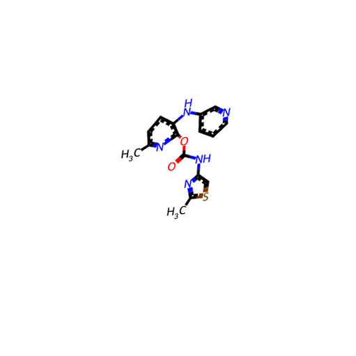 Cc1ccc(Nc2cccnc2)c(OC(=O)Nc2csc(C)n2)n1